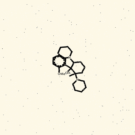 COc1ccccc1C1(O)C(N2CCCCC2)CCCC1(C)N1CCCCC1